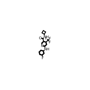 O=C(NC1CCC1)c1cnc(Nc2cccc(F)c2)cc1C(F)(F)F